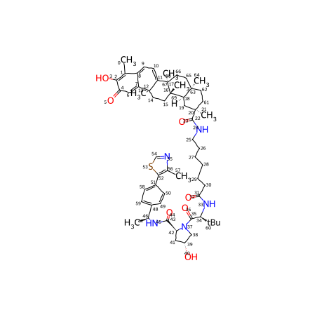 CC1=C(O)C(=O)C=C2C1=CC=C1[C@@]2(C)CC[C@@]2(C)[C@@H]3C[C@](C)(C(=O)NCCCCCCC(=O)N[C@H](C(=O)N4C[C@H](O)C[C@H]4C(=O)N[C@@H](C)c4ccc(-c5scnc5C)cc4)C(C)(C)C)CC[C@]3(C)CC[C@]12C